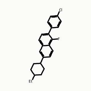 CCC1CCC(c2ccc3c(F)c(-c4ccc(Cl)cc4)ccc3c2)CC1